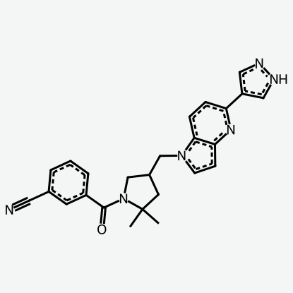 CC1(C)CC(Cn2ccc3nc(-c4cn[nH]c4)ccc32)CN1C(=O)c1cccc(C#N)c1